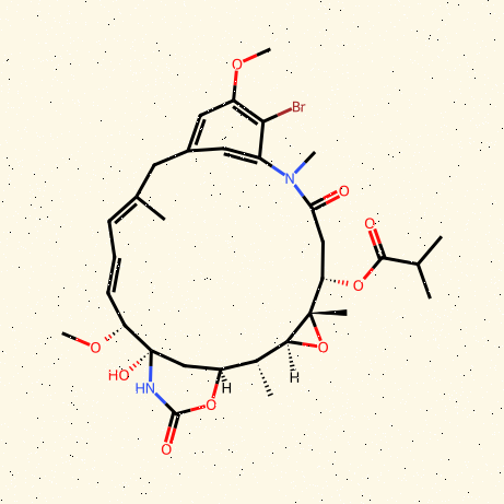 COc1cc2cc(c1Br)N(C)C(=O)C[C@H](OC(=O)C(C)C)[C@]1(C)O[C@H]1[C@H](C)[C@@H]1C[C@@](O)(NC(=O)O1)[C@H](OC)/C=C/C=C(\C)C2